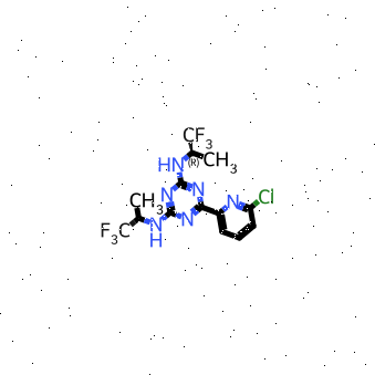 CC(Nc1nc(N[C@H](C)C(F)(F)F)nc(-c2cccc(Cl)n2)n1)C(F)(F)F